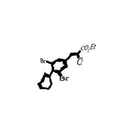 CCOC(=O)C(Cl)Cc1cc(Br)c(C2CCCCC2)c(Br)c1